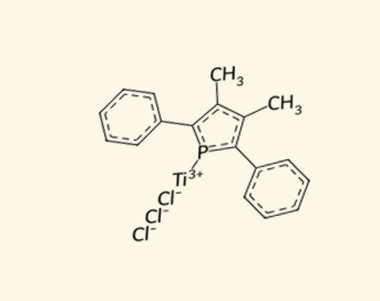 Cc1c(C)c(-c2ccccc2)[p]([Ti+3])c1-c1ccccc1.[Cl-].[Cl-].[Cl-]